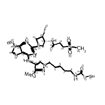 COc1nn(CCCCCNC(=O)OC(C)(C)C)cc1Nc1nc(N2C[C@@H](F)[C@H](NC(=O)CCS(C)(=O)=O)C2)nc2c1ncn2C(C)(C)C